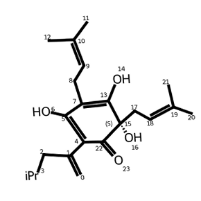 C=C(CC(C)C)C1=C(O)C(CC=C(C)C)=C(O)[C@@](O)(CC=C(C)C)C1=O